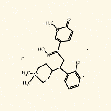 Cn1cc(C(CC(c2ccccc2Cl)C2CC[N+](C)(C)CC2)=NO)ccc1=O.[I-]